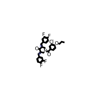 CCCOc1ccc(C(=O)N2C/C(=C\c3ccc(F)c(F)c3)C(=O)/C(=C/c3ccc(F)c(F)c3)C2)cc1Cl